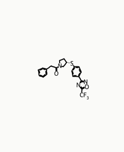 O=C(Cc1ccccc1)N1CC[C@H](Sc2ccc(-c3noc(C(F)(F)F)n3)cc2)C1